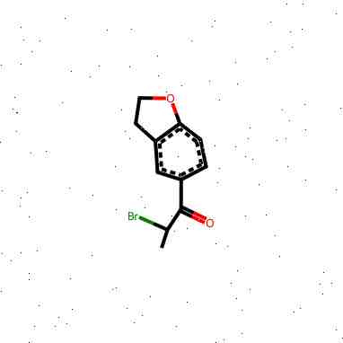 CC(Br)C(=O)c1ccc2c(c1)CCO2